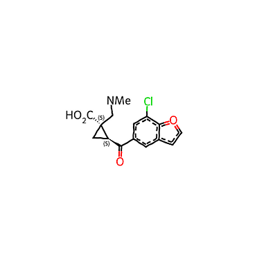 CNC[C@]1(C(=O)O)C[C@@H]1C(=O)c1cc(Cl)c2occc2c1